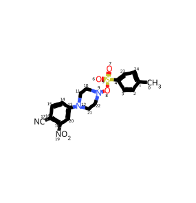 Cc1ccc(S(=O)(=O)ON2CCN(c3ccc(C#N)c([N+](=O)[O-])c3)CC2)cc1